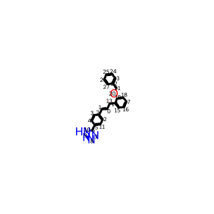 C(=Cc1ccc(-c2nnn[nH]2)cc1)Cc1ccccc1OCc1ccccc1